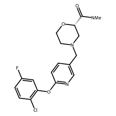 CNC(=O)[C@@H]1CN(Cc2ccc(Oc3cc(F)ccc3Cl)nc2)CCO1